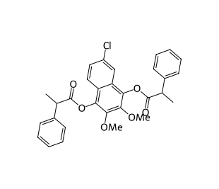 COc1c(OC)c(OC(=O)C(C)c2ccccc2)c2cc(Cl)ccc2c1OC(=O)C(C)c1ccccc1